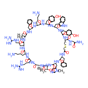 CC[C@H](C)C1NC(=O)C([C@@H](C)O)NC(=O)C(Cc2cncn2C)NC(=O)C(Cc2ccccc2)NC(=O)CSCC(C(=O)NCC(N)=O)NC(=O)C(Cc2ccc(O)cc2)NC(=O)C(Cc2c[nH]c3ccccc23)NC(=O)C(Cc2ccc(O)cc2)NC(=O)C(CCCCN)NC(=O)C(Cc2ccccc2)NC(=O)C(C)(C)NC(=O)C(CCCNC(=N)N)NC(=O)C(CCCCN)NC(=O)C(CCCNC(=N)N)NC1=O